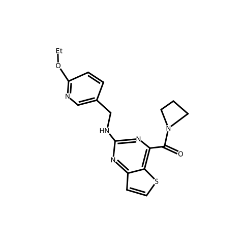 CCOc1ccc(CNc2nc(C(=O)N3CCC3)c3sccc3n2)cn1